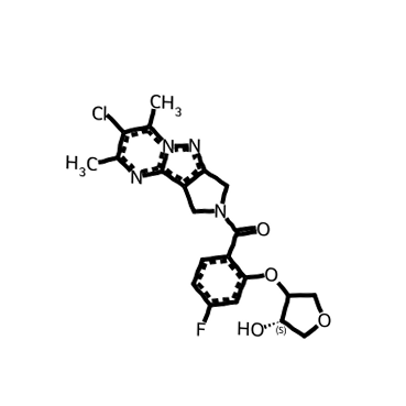 Cc1nc2c3c(nn2c(C)c1Cl)CN(C(=O)c1ccc(F)cc1OC1COC[C@@H]1O)C3